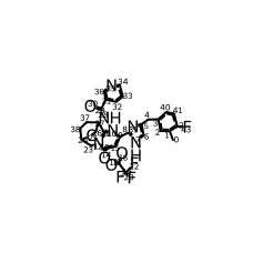 Cc1cc(Cc2c[nH]c(-c3nc4n(c(=O)c3OC(=O)C(F)(F)F)CC3CCC4(NC(=O)c4cccnc4)CC3)n2)ccc1F